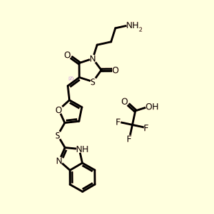 NCCCN1C(=O)S/C(=C\c2ccc(Sc3nc4ccccc4[nH]3)o2)C1=O.O=C(O)C(F)(F)F